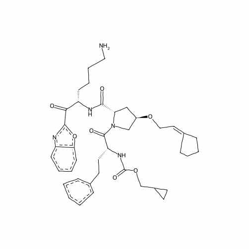 NCCCC[C@H](NC(=O)[C@@H]1C[C@@H](OCC=C2CCCC2)CN1C(=O)[C@@H](CCc1ccccc1)NC(=O)OCC1CC1)C(=O)c1nc2ccccc2o1